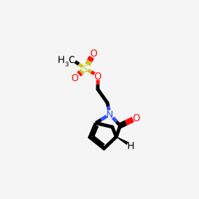 CS(=O)(=O)OCCN1C(=O)[C@@H]2C=C=C1C2